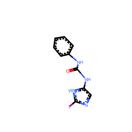 O=C(Nc1ccccc1)Nc1cnc(I)[nH]1